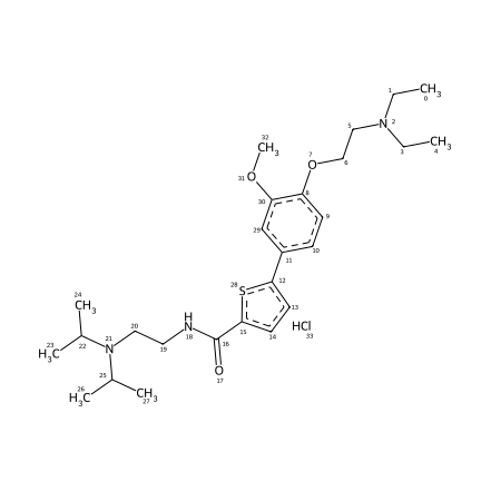 CCN(CC)CCOc1ccc(-c2ccc(C(=O)NCCN(C(C)C)C(C)C)s2)cc1OC.Cl